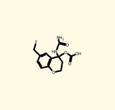 NC(=O)NC1(OC(=O)O)CCOc2ccc(CF)cc21